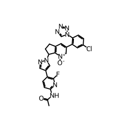 CC(=O)Nc1ccc(-c2cnn(C3CCc4cc(-c5cc(Cl)ccc5-n5cnnn5)c[n+]([O-])c43)c2)c(F)n1